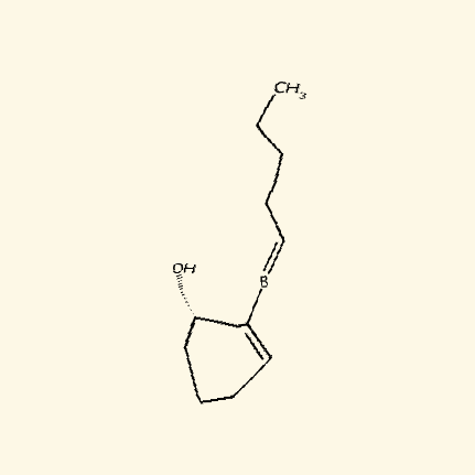 CCCC/C=B/C1=CCCC[C@@H]1O